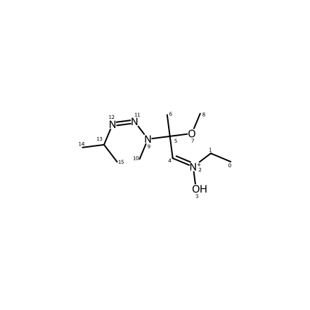 CC/[N+](O)=C\C(C)(OC)N(C)/N=N\C(C)C